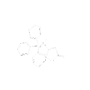 CN(C1COC(=O)C1)[Si](c1ccccc1)(c1ccccc1)c1ccccc1